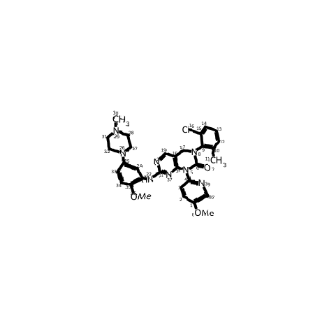 COc1ccc(N2C(=O)N(c3c(C)cccc3Cl)Cc3cnc(Nc4cc(N5CCN(C)CC5)ccc4OC)nc32)nc1